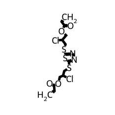 C=CC(=O)OCC(Cl)CSc1nnc(SCC(Cl)COC(=O)C=C)s1